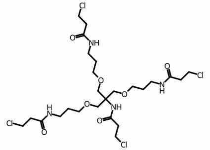 O=C(CCCl)NCCCOCC(COCCCNC(=O)CCCl)(COCCCNC(=O)CCCl)NC(=O)CCCl